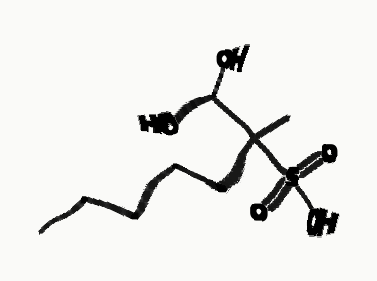 CCCCCC(C)(C(O)O)S(=O)(=O)O